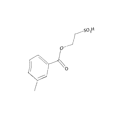 Cc1cccc(C(=O)OCCS(=O)(=O)O)c1